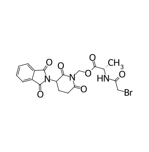 C[C@H](NC(=O)CBr)C(=O)OCN1C(=O)CCC(N2C(=O)c3ccccc3C2=O)C1=O